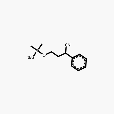 CC(C)(C)[Si](C)(C)OCCC(C#N)c1ccccc1